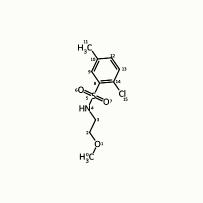 COCCNS(=O)(=O)c1cc(C)ccc1Cl